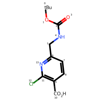 CC(C)(C)OC(=O)NCc1ccc(C(=O)O)c(Cl)n1